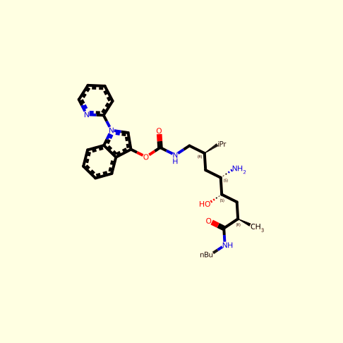 CCCCNC(=O)[C@H](C)C[C@H](O)[C@@H](N)C[C@@H](CNC(=O)Oc1cn(-c2ccccn2)c2ccccc12)C(C)C